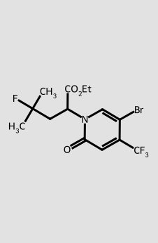 CCOC(=O)C(CC(C)(C)F)n1cc(Br)c(C(F)(F)F)cc1=O